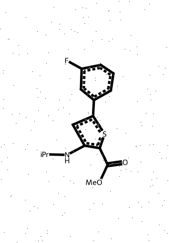 COC(=O)c1sc(-c2cccc(F)c2)cc1NC(C)C